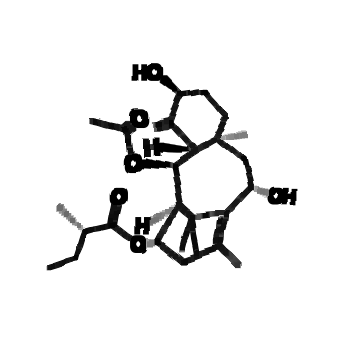 C=C1[C@@H](O)CC[C@@]2(C)C[C@H](O)C3=C(C)C[C@H](OC(=O)[C@@H](C)CC)[C@@H]([C@@H](OC(C)=O)[C@H]12)C3(C)C